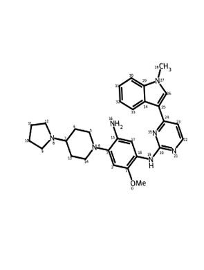 COc1cc(N2CCC(N3CCCC3)CC2)c(N)cc1Nc1nccc(-c2cn(C)c3ccccc23)n1